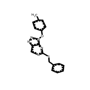 Cc1ccc(On2nnc3cnc(SCc4ccccc4)nc32)cc1